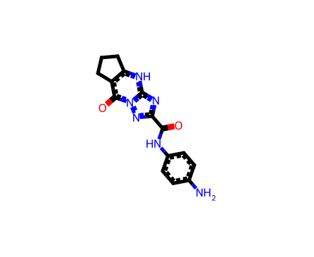 Nc1ccc(NC(=O)c2nc3[nH]c4c(c(=O)n3n2)CCC4)cc1